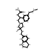 COCCc1cccc(C(CC(=O)O)CN2CCC(F)(CCc3ccc4c(n3)NCCC4)C2)c1